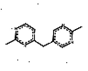 Cc1ncc(Cc2ccnc(C)n2)cn1